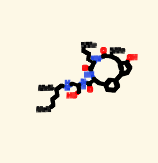 CNCCC[C@@H](CNC[C@H](CO)NC(=O)[C@@H]1Cc2cccc(c2)-c2ccc(O)c(c2)C[C@H](NC)C(=O)N[C@@H](CCCNC)C(=O)N1)NC